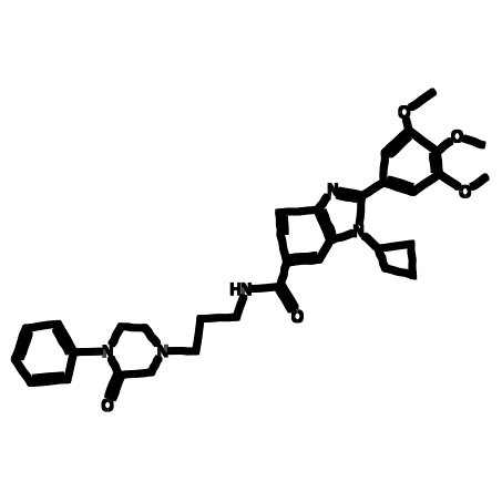 COc1cc(-c2nc3ccc(C(=O)NCCCN4CCN(c5ccccc5)C(=O)C4)cc3n2C2CCC2)cc(OC)c1OC